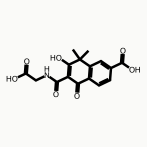 CC1(C)C(O)=C(C(=O)NCC(=O)O)C(=O)c2ccc(C(=O)O)cc21